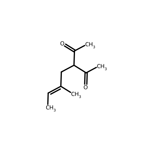 C/C=C(\C)CC(C(C)=O)C(C)=O